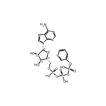 Nc1ncnc2c1ncn2[C@@H]1O[C@H](COP(=O)(O)OP(=O)(O)OP(=O)(O)Oc2cccnc2)[C@@H](O)[C@H]1O